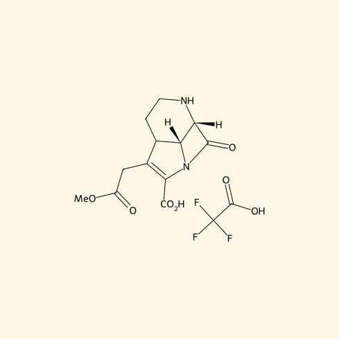 COC(=O)CC1=C(C(=O)O)N2C(=O)[C@H]3NCCC1[C@H]32.O=C(O)C(F)(F)F